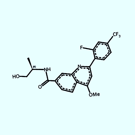 COc1cc(-c2ccc(C(F)(F)F)cc2F)nc2cc(C(=O)N[C@H](C)CO)ccc12